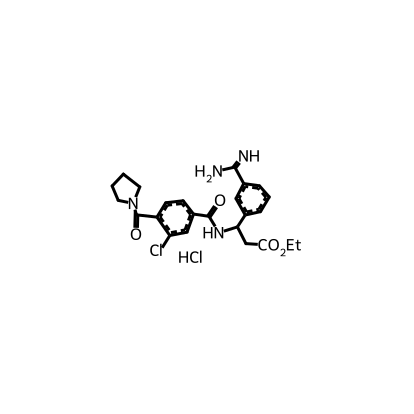 CCOC(=O)CC(NC(=O)c1ccc(C(=O)N2CCCC2)c(Cl)c1)c1cccc(C(=N)N)c1.Cl